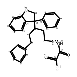 CNCCC(CCc1ccccc1)C1(c2ccccc2)COc2ccccc21.O=C(O)C(=O)O